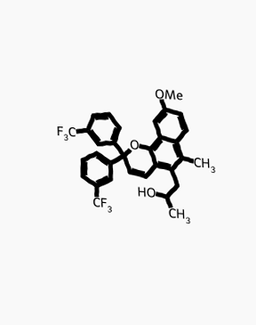 COc1ccc2c(C)c(CC(C)O)c3c(c2c1)OC(c1cccc(C(F)(F)F)c1)(c1cccc(C(F)(F)F)c1)C=C3